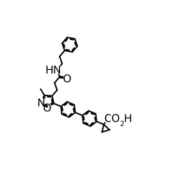 Cc1noc(-c2ccc(-c3ccc(C4(C(=O)O)CC4)cc3)cc2)c1CCC(=O)NCCc1ccccc1